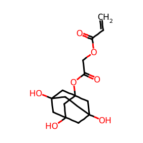 C=CC(=O)OCC(=O)OC12CC3(O)CC(O)(CC(O)(C3)C1)C2